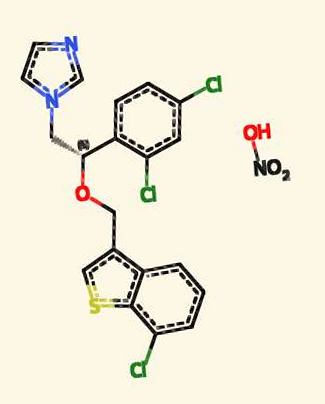 Clc1ccc([C@@H](Cn2ccnc2)OCc2csc3c(Cl)cccc23)c(Cl)c1.O=[N+]([O-])O